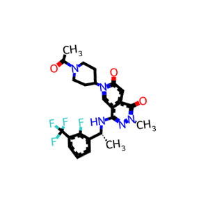 CC(=O)N1CCC(n2cc3c(N[C@H](C)c4cccc(C(F)(F)F)c4F)nn(C)c(=O)c3cc2=O)CC1